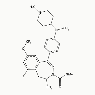 CNC(=O)N1N=C(c2ccc(N(C)C3CCN(C)CC3)cc2)c2cc(OC(F)(F)F)cc(F)c2CC1C